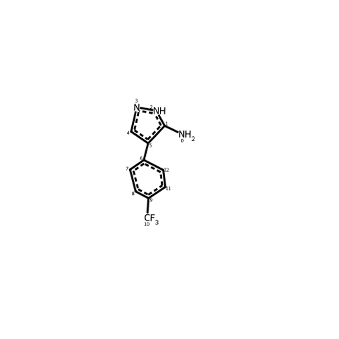 Nc1[nH]ncc1-c1ccc(C(F)(F)F)cc1